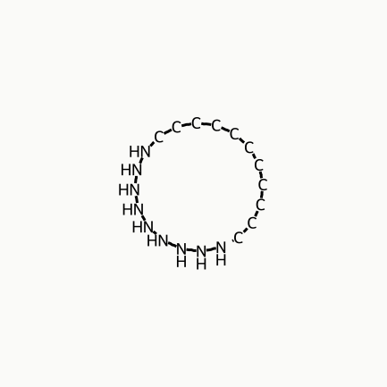 C1CCCCCNNNNNNNNNCCCCC1